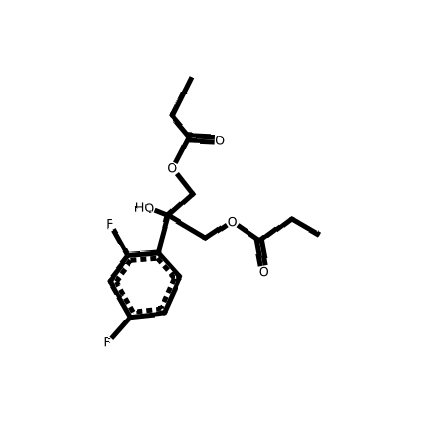 CCC(=O)OCC(O)(COC(=O)CC)c1ccc(F)cc1F